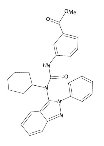 COC(=O)c1cccc(NC(=O)N(c2c3ccccc3nn2-c2ccccc2)C2CCCCC2)c1